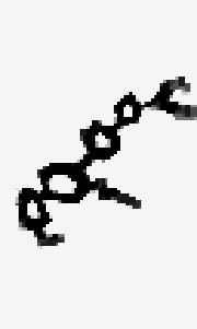 COCOc1cc(-c2cnnc(OC)c2)ccc1-c1ccc(N2CC[C@H](N(C)C(C)(C)C)C2)nn1